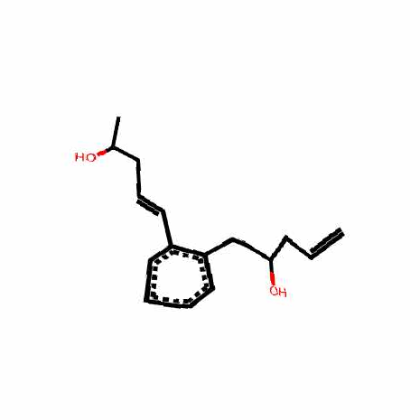 C=CCC(O)Cc1ccccc1C=CCC(C)O